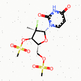 C[C@@]1(F)[C@H](OS(C)(=O)=O)[C@@H](COS(C)(=O)=O)O[C@H]1n1ccc(=O)[nH]c1=O